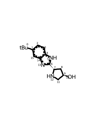 CC(C)(C)c1ccc2[nH]c([C@@H]3C[C@@H](O)CN3)nc2c1